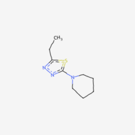 CCc1nnc(N2CCCCC2)s1